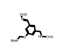 CNCOc1cc(/C=N/C=O)cc(CNC=O)c1